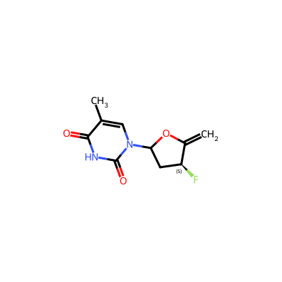 C=C1OC(n2cc(C)c(=O)[nH]c2=O)C[C@@H]1F